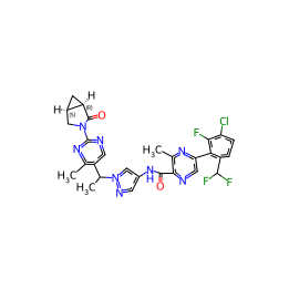 Cc1nc(N2C[C@H]3C[C@H]3C2=O)ncc1C(C)n1cc(NC(=O)c2ncc(-c3c(C(F)F)ccc(Cl)c3F)nc2C)cn1